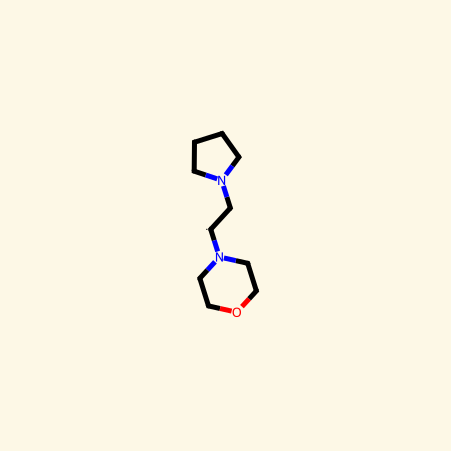 [CH](CN1CCCC1)N1CCOCC1